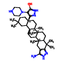 CC1(C)CC[C@]2(c3n[nH]c(O)c3N3CCNCC3)CC[C@]3(C)C(=CCC4[C@@]5(C)Cc6c(n[nH]c6N)C(C)(C)C5CC[C@]43C)C2C1